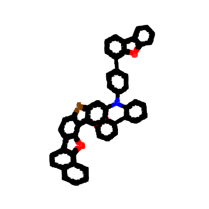 c1ccc(-c2ccccc2N(c2ccc(-c3cccc4c3oc3ccccc34)cc2)c2ccc3c(c2)sc2ccc4c5ccc6ccccc6c5oc4c23)cc1